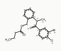 CCCC(=O)OCc1ccccc1N(C)C(=O)c1ccc(Cl)c(Br)c1